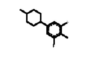 Cc1c(F)cc(C2CCC(C)CC2)cc1F